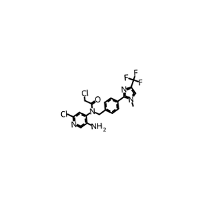 Cn1cc(C(F)(F)F)nc1-c1ccc(CN(C(=O)CCl)c2cc(Cl)ncc2N)cc1